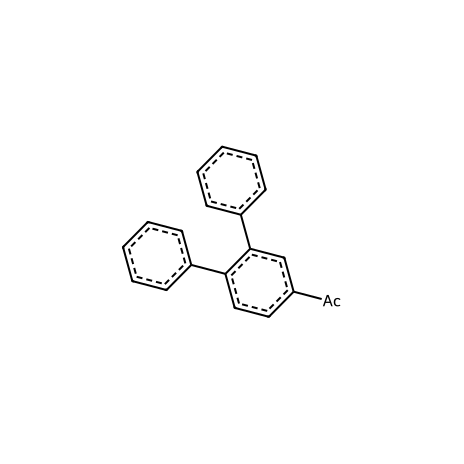 CC(=O)c1ccc(-c2ccccc2)c(-c2ccccc2)c1